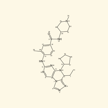 CCC1c2nncn2-c2cnc(Nc3ccc(C(=O)NC4CCN(C)CC4)cc3C)nc2N1C1CCCC1